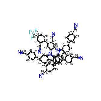 N#Cc1ccc(-c2ccc3c4ccc(-c5ccc(C#N)cc5)cc4n(-c4cc(C#N)c(-c5ccc(C(F)(F)F)cc5C#N)cc4-n4c5cc(-c6ccc(C#N)cc6)ccc5c5ccc(-c6ccc(C#N)cc6)cc54)c3c2)cc1